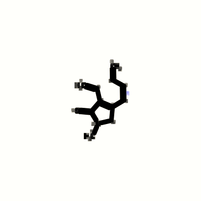 C=C/C=C\C1=C(C=C)C(=O)N(C)C1